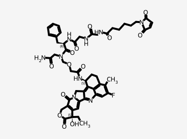 CC[C@@]1(O)C(=O)OCc2c1cc1n(c2=O)Cc2c-1nc1cc(F)c(C)c3c1c2[C@@H](NC(=O)COCN(CC(N)=O)C(=O)[C@@H](Cc1ccccc1)NC(=O)CNC(=O)CNC(=O)CCCCCN1C(=O)C=CC1=O)CC3